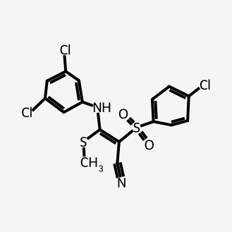 CSC(Nc1cc(Cl)cc(Cl)c1)=C(C#N)S(=O)(=O)c1ccc(Cl)cc1